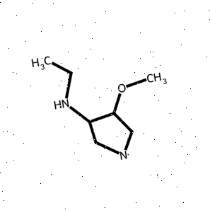 CCNC1C[N]CC1OC